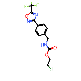 O=C(NCc1ccc(-c2noc(C(F)(F)F)n2)cc1)OCCCl